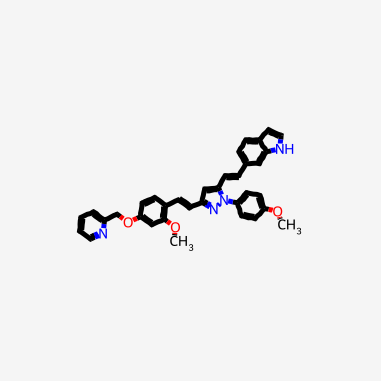 COc1ccc(-n2nc(C=Cc3ccc(OCc4ccccn4)cc3OC)cc2C=Cc2ccc3cc[nH]c3c2)cc1